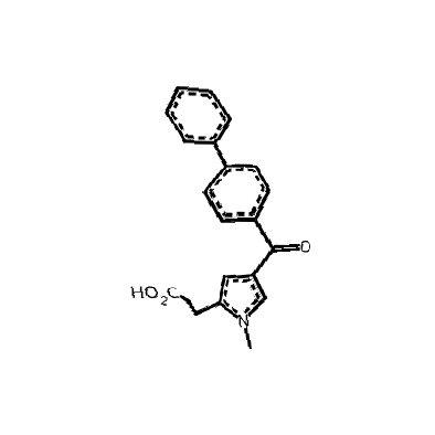 Cn1cc(C(=O)c2ccc(-c3ccccc3)cc2)cc1CC(=O)O